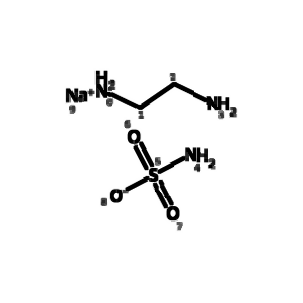 NCCN.NS(=O)(=O)[O-].[Na+]